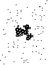 [2H][C@]1(F)CN2CCC[C@@]2(COc2nc(N3C[C@H]4CC[C@@H](C3)N4)c3cnn(-c4cc(O)cc5ccc(F)c(F)c45)c(=O)c3n2)C1